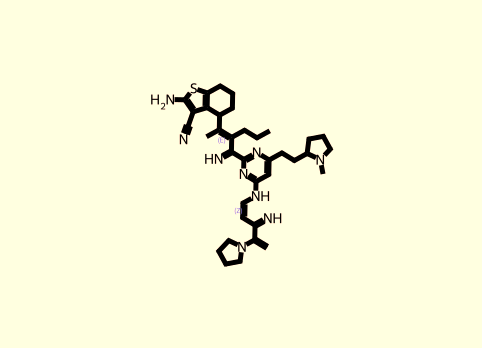 C=C(C(=N)/C=C\Nc1cc(CCC2CCCN2C)nc(C(=N)/C(CCC)=C(\C)C2CCCc3sc(N)c(C#N)c32)n1)N1CCCC1